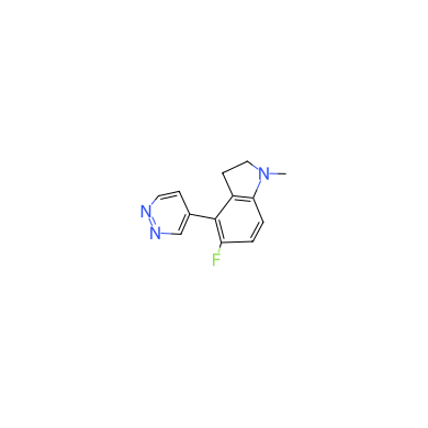 CN1CCc2c1ccc(F)c2-c1ccnnc1